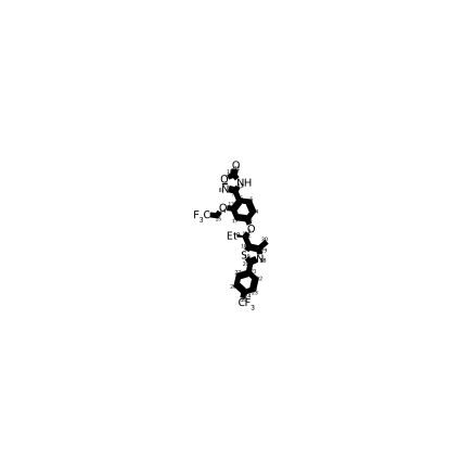 CC[C@@H](Oc1ccc(-c2noc(=O)[nH]2)c(OCC(F)(F)F)c1)c1sc(-c2ccc(C(F)(F)F)cc2)nc1C